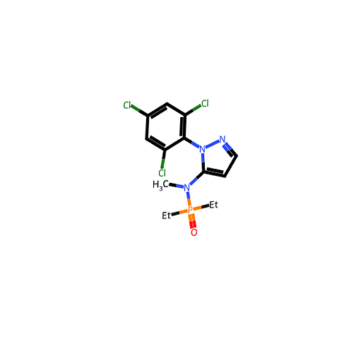 CCP(=O)(CC)N(C)c1ccnn1-c1c(Cl)cc(Cl)cc1Cl